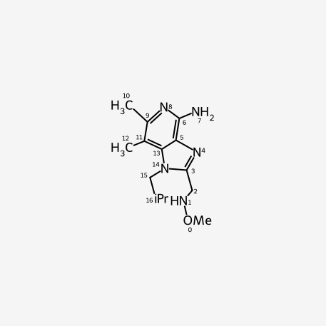 CONCc1nc2c(N)nc(C)c(C)c2n1CC(C)C